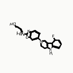 OCCNc1nc2ccc(N3CCC4=C(C3)C3C(=CC=CC3F)N4)cc2o1